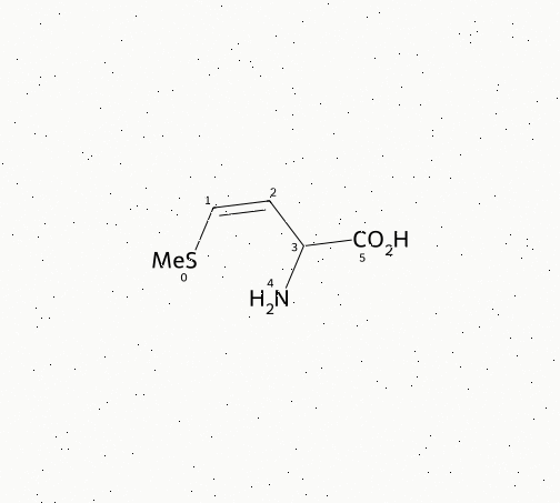 CS/C=C\C(N)C(=O)O